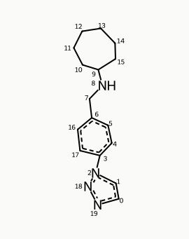 c1cn(-c2ccc(CNC3CCCCCC3)cc2)nn1